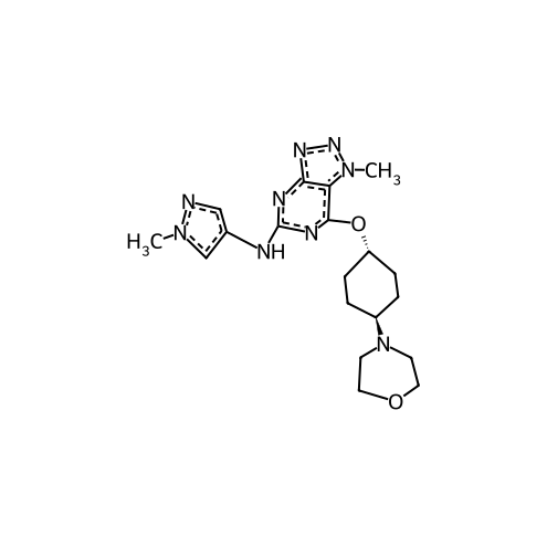 Cn1cc(Nc2nc(O[C@H]3CC[C@H](N4CCOCC4)CC3)c3c(nnn3C)n2)cn1